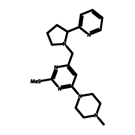 CSc1nc(CN2CCCC2c2ccccn2)cc(N2CCN(C)CC2)n1